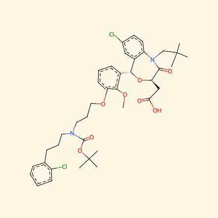 COc1c(OCCCN(CCCc2ccccc2Cl)C(=O)OC(C)(C)C)cccc1[C@H]1O[C@H](CC(=O)O)C(=O)N(CC(C)(C)C)c2ccc(Cl)cc21